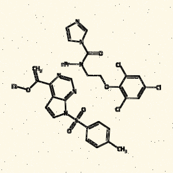 C=C(OCC)c1ncnc2c1ccn2S(=O)(=O)c1ccc(C)cc1.CCCN(CCOc1c(Cl)cc(Cl)cc1Cl)C(=O)n1ccnc1